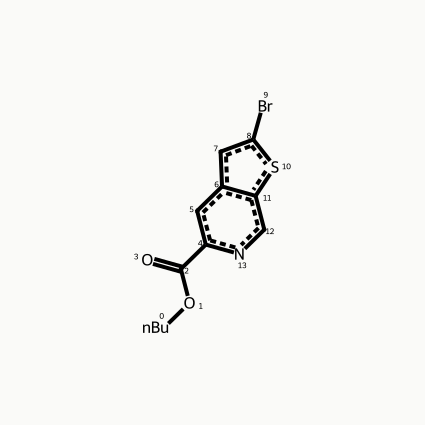 CCCCOC(=O)c1cc2cc(Br)sc2cn1